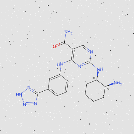 NC(=O)c1cnc(N[C@@H]2CCCC[C@@H]2N)nc1Nc1cccc(-c2nn[nH]n2)c1